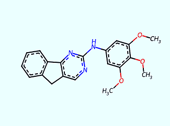 COc1cc(Nc2ncc3c(n2)-c2ccccc2C3)cc(OC)c1OC